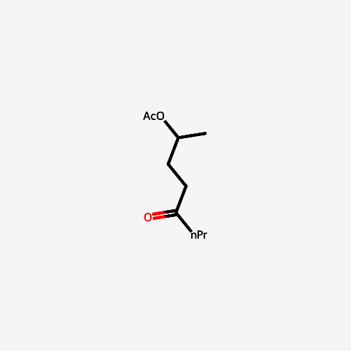 CCCC(=O)CCC(C)OC(C)=O